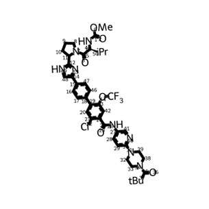 COC(=O)N[C@H](C(=O)N1CCCC1c1nc(-c2ccc(-c3cc(Cl)c(C(=O)Nc4ccc(N5CCN(C(=O)C(C)(C)C)CC5)nc4)cc3OC(F)(F)F)cc2)c[nH]1)C(C)C